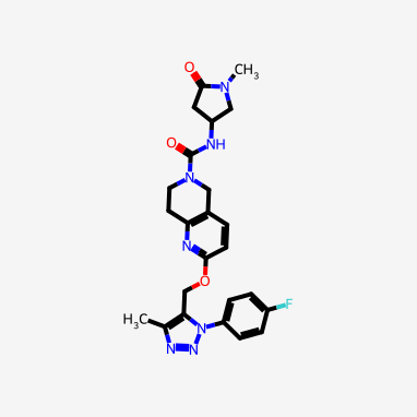 Cc1nnn(-c2ccc(F)cc2)c1COc1ccc2c(n1)CCN(C(=O)NC1CC(=O)N(C)C1)C2